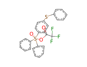 O=C(OS(=O)(c1ccccc1)(c1ccccc1)c1ccc(Sc2ccccc2)cc1)C(F)(F)F